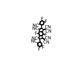 N#CC(C#N)=C1C(c2cc(F)c(F)cc2C#N)=C(C#N)c2c(F)c3c(c(F)c21)C(=C(C#N)C#N)C(c1cc(F)c(F)cc1C#N)=C3C#N